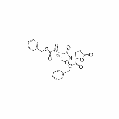 O=C1CCC(C(=O)OCc2ccccc2)(N2OC[C@H](NC(=O)OCc3ccccc3)C2=O)O1